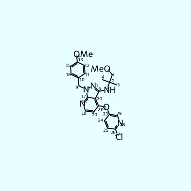 COCC(C)(C)Nc1nn(Cc2ccc(OC)cc2)c2nccc(Oc3ccc(Cl)nc3)c12